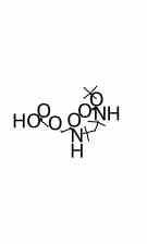 CC(C)(CC(C)(C)NC(=O)OC(C)(C)C)NC(=O)COCC(=O)O